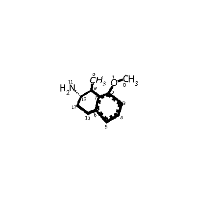 COc1cccc2c1C(C)[C@@H](N)CC2